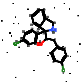 OC(Cc1ccc(Cl)cc1)C1(c2ccc(Cl)cc2)NCc2ccccc21